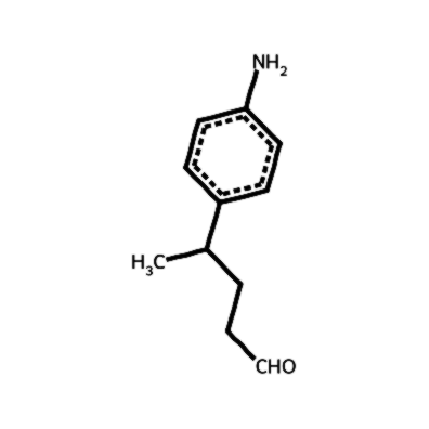 CC(CCC=O)c1ccc(N)cc1